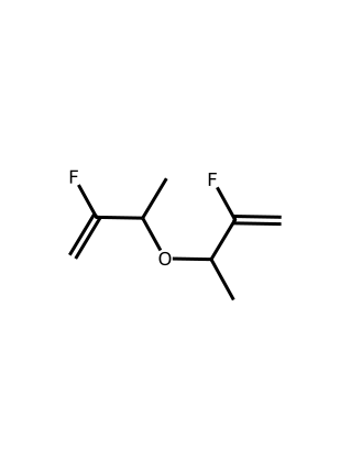 C=C(F)C(C)OC(C)C(=C)F